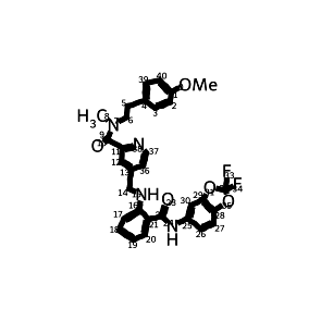 COc1ccc(CCN(C)C(=O)c2cc(CNc3ccccc3C(=O)Nc3ccc4c(c3)OC(F)(F)O4)ccn2)cc1